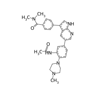 CC(=O)Nc1cc(-c2cnc3[nH]cc(-c4ccc(C(=O)N(C)C)cc4)c3c2)ccc1N1CCN(C)CC1